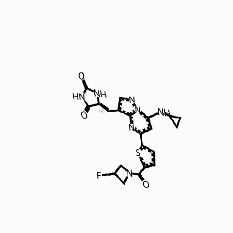 O=C1NC(=O)/C(=C/c2cnn3c(NC4CC4)cc(-c4ccc(C(=O)N5CC(F)C5)s4)nc23)N1